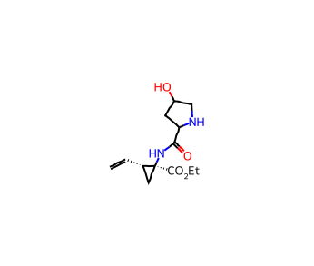 C=C[C@H]1C[C@@]1(NC(=O)C1CC(O)CN1)C(=O)OCC